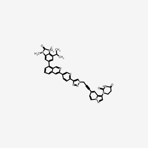 CC(C)c1cc(-c2cccc3cc(-c4ccc(-c5cn(CC#Cc6ccn7ncc(N8CCC(=O)NC8=O)c7c6)nn5)nc4)ncc23)cc2c1n(C)c(=O)n2C